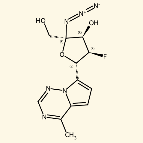 Cc1ncnn2c([C@@H]3O[C@@](CO)(N=[N+]=[N-])[C@@H](O)[C@H]3F)ccc12